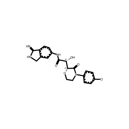 N=C1NCc2cc(NC(=O)[C@H](O)[C@H]3OCCN(c4ccc(Cl)cc4)C3=O)ccc21